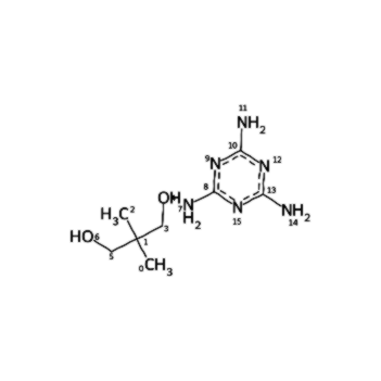 CC(C)(CO)CO.Nc1nc(N)nc(N)n1